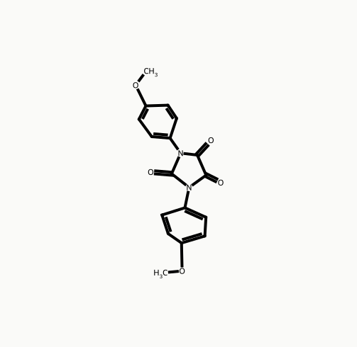 COc1ccc(N2C(=O)C(=O)N(c3ccc(OC)cc3)C2=O)cc1